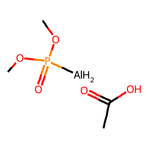 CC(=O)O.CO[P](=O)([AlH2])OC